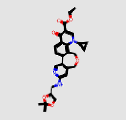 CCOC(=O)c1cn(C2CC2)c2c3c(ccc2c1=O)-c1cnc(NC[C@H]2COC(C)(C)O2)cc1COC3